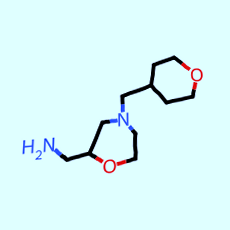 NCC1CN(CC2CCOCC2)CCO1